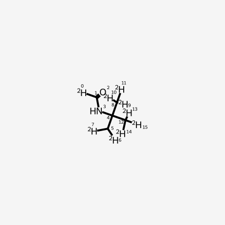 [2H]C(=O)NC(C([2H])[2H])(C([2H])([2H])[2H])C([2H])([2H])[2H]